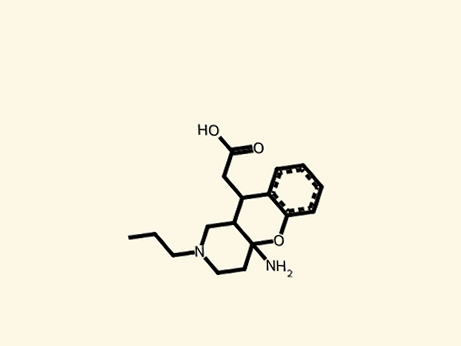 CCCN1CCC2(N)Oc3ccccc3C(CC(=O)O)C2C1